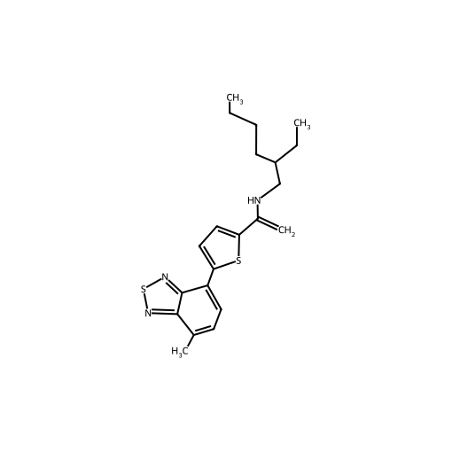 C=C(NCC(CC)CCCC)c1ccc(-c2ccc(C)c3nsnc23)s1